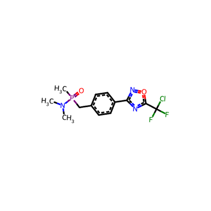 CN(C)P(C)(=O)Cc1ccc(-c2noc(C(F)(F)Cl)n2)cc1